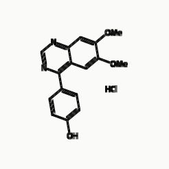 COc1cc2ncnc(-c3ccc(O)cc3)c2cc1OC.Cl